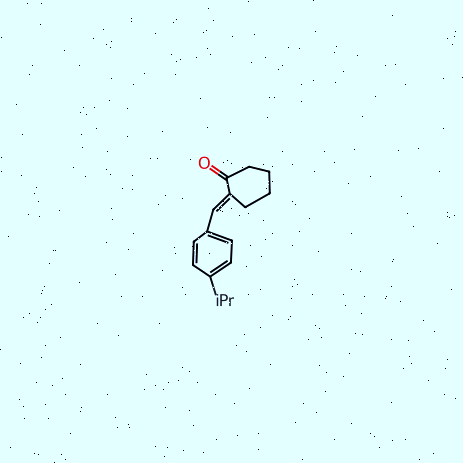 CC(C)c1ccc(C=C2CCCCC2=O)cc1